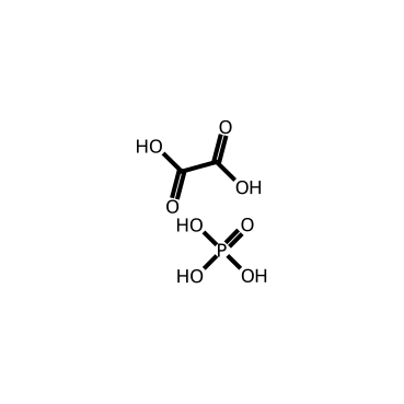 O=C(O)C(=O)O.O=P(O)(O)O